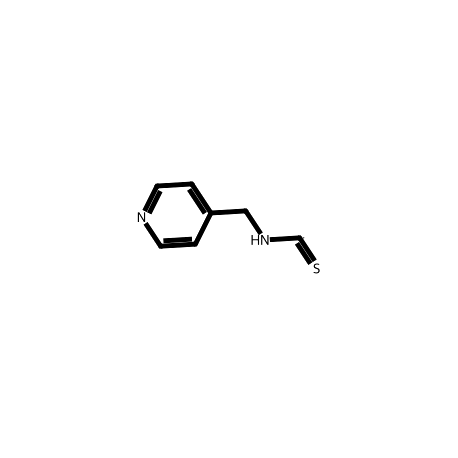 S=[C]NCc1ccncc1